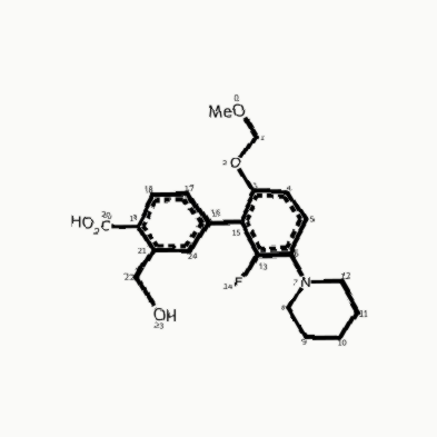 COCOc1ccc(N2CCCCC2)c(F)c1-c1ccc(C(=O)O)c(CO)c1